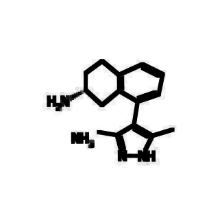 Cc1n[nH]c(C)c1-c1cccc2c1C[C@H](N)CC2.N